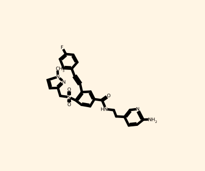 Cn1ccc(CS(=O)(=O)c2ccc(C(=O)NCCc3ccc(N)nc3)cc2C#Cc2ccc(F)cc2)n1